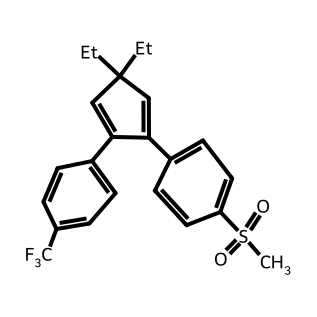 CCC1(CC)C=C(c2ccc(C(F)(F)F)cc2)C(c2ccc(S(C)(=O)=O)cc2)=C1